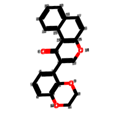 O=c1c(-c2cccc3c2OCCO3)coc2ccc3ccccc3c12